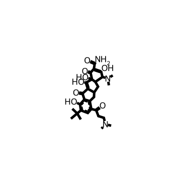 CN(C)CCC(=O)c1cc(C(C)(C)C)c(O)c2c1CC1CC3C(N(C)C)C(O)=C(C(N)=O)C(=O)C3(O)C(O)=C1C2=O